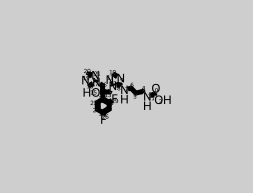 O=C(O)NCCCNc1ncnn1CC(O)(Cn1cncn1)c1ccc(F)cc1F